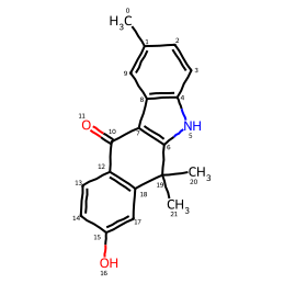 Cc1ccc2[nH]c3c(c2c1)C(=O)c1ccc(O)cc1C3(C)C